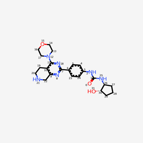 O=C(Nc1ccc(-c2nc3c(c(N4CCOCC4)n2)CCNC3)cc1)N[C@H]1CCC[C@@H]1O